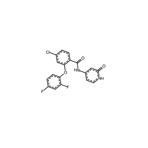 O=C(Nc1cc[nH]c(=O)c1)c1ccc(Cl)cc1Oc1ccc(F)cc1F